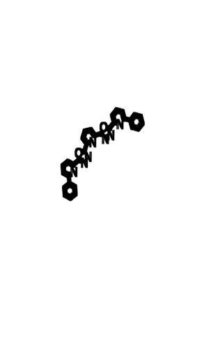 c1ccc(-c2cccc(-c3nnc(-c4cccc(-c5nnc(-c6cccc(-c7ccccc7)n6)o5)n4)o3)n2)cc1